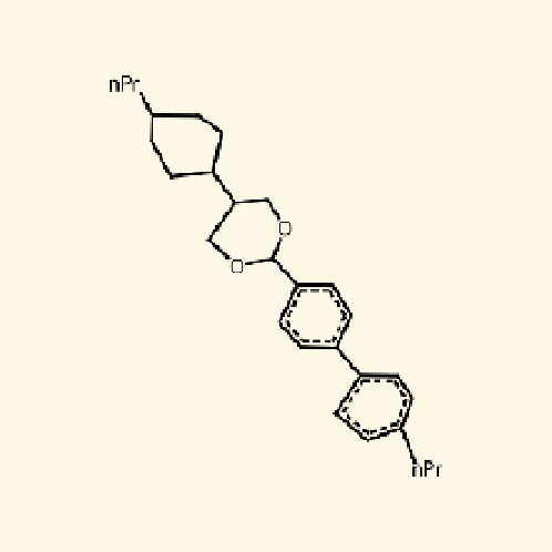 CCCc1ccc(-c2ccc(C3OCC(C4CCC(CCC)CC4)CO3)cc2)cc1